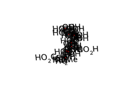 COC(CSC[C@@H](N)C(=O)O)[C@@H](OC1OC(CO)[C@@H](O[C@@H]2OC(CO)[C@@H](O[C@@H]3OC(CSC[C@@H](N)C(=O)O)[C@@H](O[C@H]4OC(CO)[C@@H](O[C@H]5OC(CO)[C@@H](OC6OC(CO)[C@@H](O)C(O)[C@@H]6O)C(O)C5O)C(O)C4O)C(O)C3O)C(O)C2O)C(O)[C@@H]1O)C(O)C(C)O